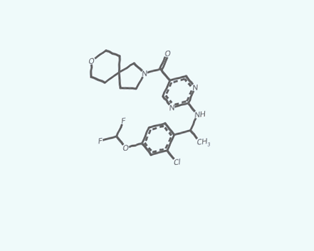 CC(Nc1ncc(C(=O)N2CCC3(CCOCC3)C2)cn1)c1ccc(OC(F)F)cc1Cl